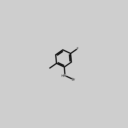 Cc1ccc(F)cc1NBr